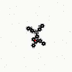 c1ccc(-c2ccc3c(c2)c2cc(-c4ccccc4)ccc2n3-c2ccc(-c3nc(-c4ccc5c(c4)sc4ccccc45)nc(-c4ccc5c(c4)sc4ccccc45)n3)cc2-c2ccccc2)cc1